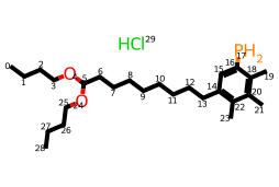 CCCCOC(CCCCCCCCc1cc(P)c(C)c(C)c1C)OCCCC.Cl